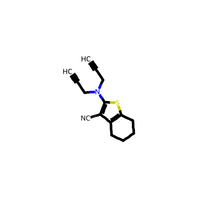 C#CCN(CC#C)c1sc2c(c1C#N)CCCC2